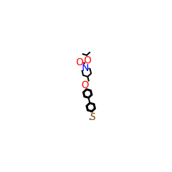 CSc1ccc(-c2ccc(OCC3CCN(C(=O)OC(C)C)CC3)cc2)cc1